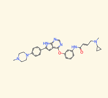 CN1CCN(c2ccc(-c3cc4c(Oc5cccc(NC(=O)C=CCN(C)C6CC6)c5)ncnc4[nH]3)cc2)CC1